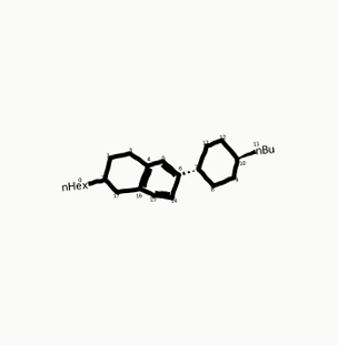 CCCCCCC1CCc2cc([C@H]3CC[C@H](CCCC)CC3)ccc2C1